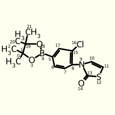 CC1(C)OB(c2ccc(-n3ccsc3=O)c(Cl)c2)OC1(C)C